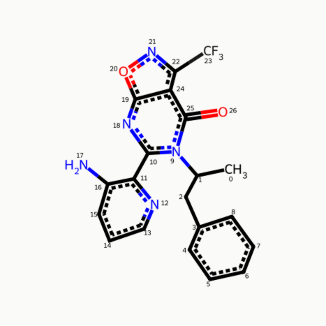 CC(Cc1ccccc1)n1c(-c2ncccc2N)nc2onc(C(F)(F)F)c2c1=O